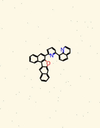 c1cc(-c2cccc3cccnc23)nc(-c2cc3ccccc3c3c2oc2cc4ccccc4cc23)c1